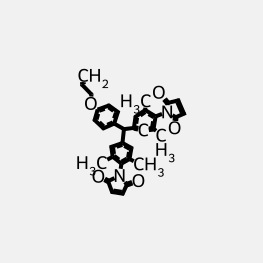 C=CCOc1ccc(C(c2cc(C)c(N3C(=O)C=CC3=O)c(C)c2)c2cc(C)c(N3C(=O)C=CC3=O)c(C)c2)cc1